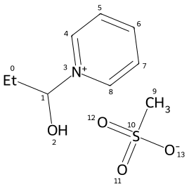 CCC(O)[n+]1ccccc1.CS(=O)(=O)[O-]